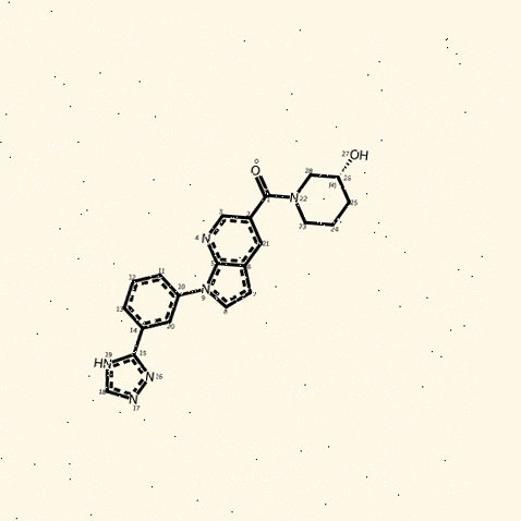 O=C(c1cnc2c(ccn2-c2cccc(-c3nnc[nH]3)c2)c1)N1CCC[C@@H](O)C1